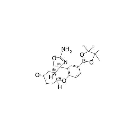 CC1(C)OB(c2ccc3c(c2)[C@@]2(COC(N)=N2)[C@H]2CC(=O)CC[C@@H]2O3)OC1(C)C